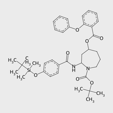 CC(C)(C)OC(=O)N1CCCC(OC(=O)c2ccccc2Oc2ccccc2)CC1NC(=O)c1ccc(O[Si](C)(C)C(C)(C)C)cc1